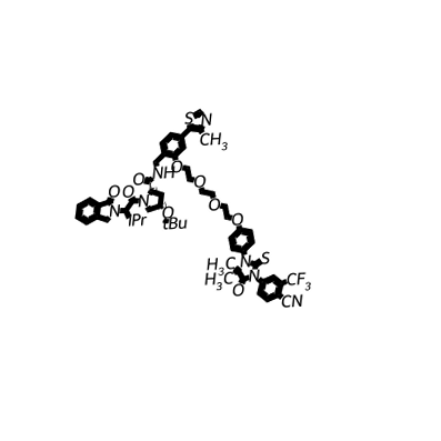 Cc1ncsc1-c1ccc(CNC(=O)[C@@H]2C[C@@H](OC(C)(C)C)CN2C(=O)C(C(C)C)N2Cc3ccccc3C2=O)c(OCCOCCOCCOc2ccc(N3C(=S)N(c4ccc(C#N)c(C(F)(F)F)c4)C(=O)C3(C)C)cc2)c1